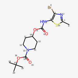 Cc1nc(Br)c(NC(=O)OC2CCN(C(=O)OC(C)(C)C)CC2)s1